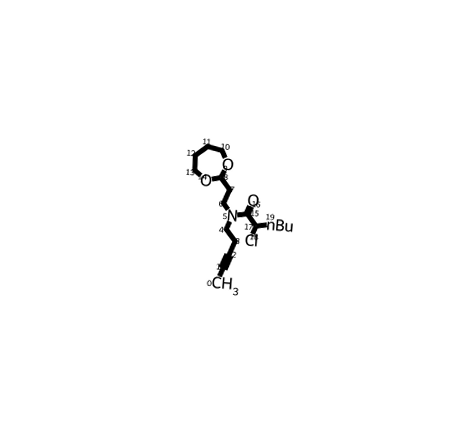 CC#CCCN(CCC1OCCCCO1)C(=O)C(Cl)CCCC